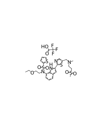 CCOCCN(c1cccc2cc(-c3ncc(CN(C)CCS(C)(=O)=O)s3)[nH]c12)S(=O)(=O)c1cccs1.O=C(O)C(F)(F)F